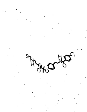 CC(C)(Oc1ccc(CCNC(=O)c2ccc(Cl)cc2)cc1)C(=O)OCCNC=S